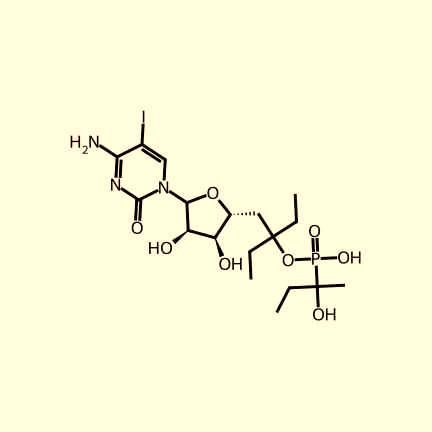 CCC(CC)(C[C@H]1OC(n2cc(I)c(N)nc2=O)[C@H](O)[C@@H]1O)OP(=O)(O)C(C)(O)CC